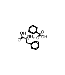 N[C@@H](Cc1ccccc1)C(=O)O.O=S(=O)(O)c1ccccc1